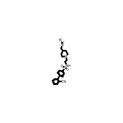 N#Cc1ccccc1-c1ccc(S(=O)(=O)NCCN2CCC(CN=[N+]=[N-])CC2)cc1